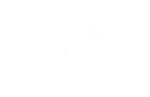 CC(C)(C)OC1CCN(c2ccccc2)C1=O